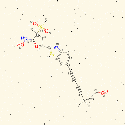 CC1(C#CC#Cc2ccc3nc(CCC(C)(C(=O)NO)S(C)(=O)=O)sc3c2)C[C@H]1CO